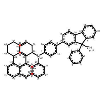 CC1(c2ccccc2)c2ccccc2-c2ccc(-c3ccc(N(c4ccccc4)C4CC=CC=C4c4cccc5cccc(C6CCCCC6)c45)cc3)cc21